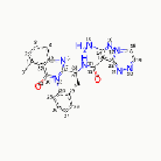 Cc1cccc2nc([C@H](C)NC(=O)c3c(N)nn4ccnnc34)n(-c3ccccc3)c(=O)c12